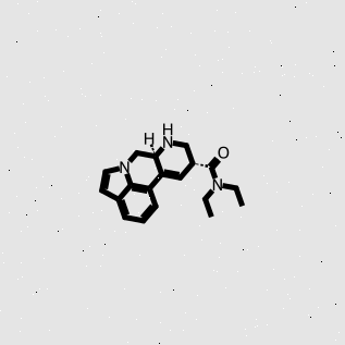 CCN(CC)C(=O)[C@@H]1C=C2c3cccc4ccn(c34)C[C@H]2NC1